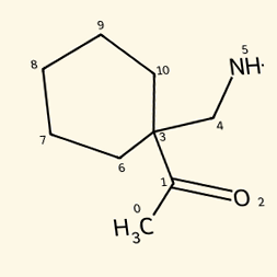 CC(=O)C1(C[NH])CCCCC1